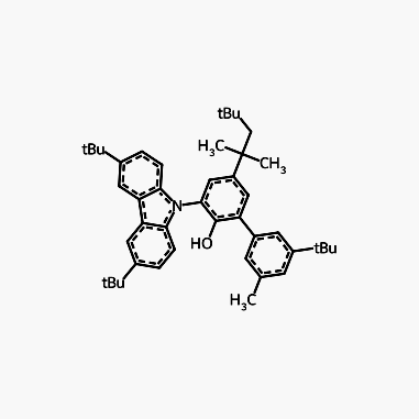 Cc1cc(-c2cc(C(C)(C)CC(C)(C)C)cc(-n3c4ccc(C(C)(C)C)cc4c4cc(C(C)(C)C)ccc43)c2O)cc(C(C)(C)C)c1